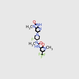 CN(C(=O)Nc1cc(C(F)(F)F)cn(C)c1=O)[C@H]1CCN(c2cnc3[nH]c(=O)n(C)c3c2)C[C@H]1F